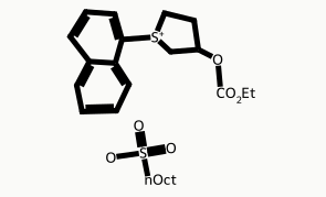 CCCCCCCCS(=O)(=O)[O-].CCOC(=O)OC1CC[S+](c2cccc3ccccc23)C1